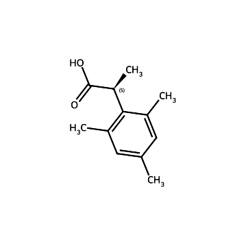 Cc1cc(C)c([C@H](C)C(=O)O)c(C)c1